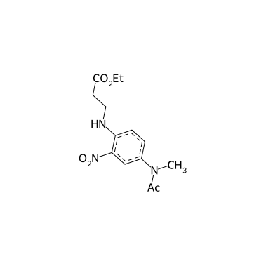 CCOC(=O)CCNc1ccc(N(C)C(C)=O)cc1[N+](=O)[O-]